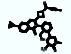 CC#CC(=O)N1CC(c2cc3cc(C4CC4)ccc3c(=O)n2-c2cccc(-c3cc(N)c(=O)n(C)c3)c2CO)C1